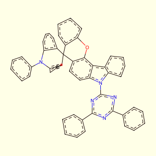 c1ccc(-c2nc(-c3ccccc3)nc(-n3c4ccccc4c4c5c(ccc43)C3(c4ccccc4O5)c4ccccc4N(c4ccccc4)c4ccccc43)n2)cc1